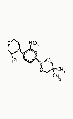 CC(C)[C@H]1COCCN1c1ccc(B2OCC(C)(C)CO2)cc1[N+](=O)[O-]